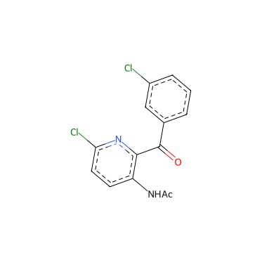 CC(=O)Nc1ccc(Cl)nc1C(=O)c1cccc(Cl)c1